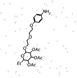 CCC1OC(OCCOCCOc2ccc(N)cc2)C(OC(C)=O)C(OC(C)=O)C1OC(C)=O